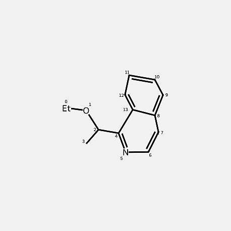 CCOC(C)c1nc[c]c2ccccc12